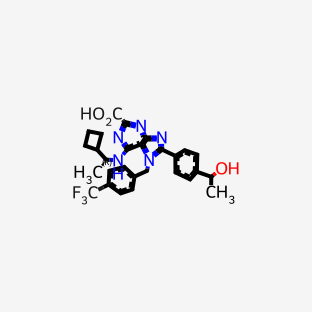 CC(O)c1ccc(-c2nc3nc(C(=O)O)nc(N[C@H](C)C4CCC4)c3n2Cc2ccc(C(F)(F)F)cc2)cc1